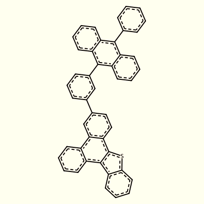 c1ccc(-c2c3ccccc3c(-c3cccc(-c4ccc5c(c4)c4ccccc4c4c6ccccc6sc54)c3)c3ccccc23)cc1